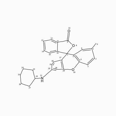 Cc1ccc2c(c1)C1(OC(=O)c3ccccc31)c1ccc(NC3CCCCC3)cc1O2